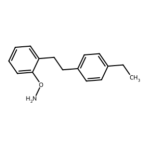 CCc1ccc(CCc2ccccc2ON)cc1